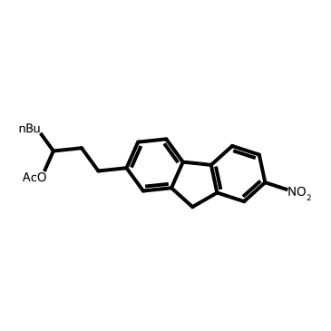 CCCCC(CCc1ccc2c(c1)Cc1cc([N+](=O)[O-])ccc1-2)OC(C)=O